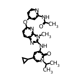 CC(=O)Nc1cc(Oc2ccc3nc(Nc4cc(C5CC5)cn(C(C)C)c4=O)n(C)c3n2)ccn1